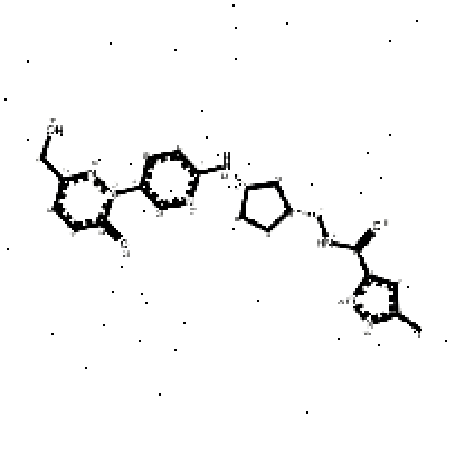 Cc1cc(C(=O)NC[C@@H]2CC[C@H](Nc3ccc(-n4nc(CO)ccc4=O)cn3)C2)on1